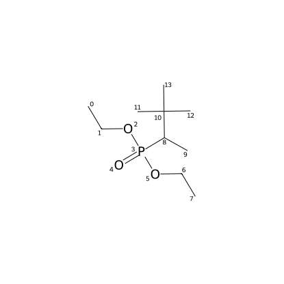 CCOP(=O)(OCC)C(C)C(C)(C)C